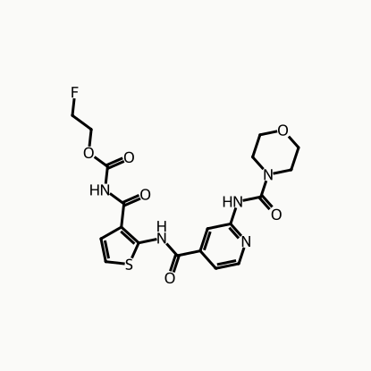 O=C(NC(=O)c1ccsc1NC(=O)c1ccnc(NC(=O)N2CCOCC2)c1)OCCF